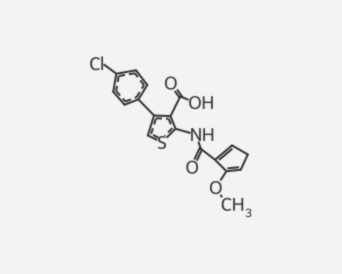 COC1=CCC=C1C(=O)Nc1scc(-c2ccc(Cl)cc2)c1C(=O)O